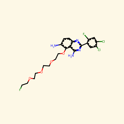 Nc1ccc2nc(-c3cc(Cl)c(Cl)cc3F)nc(N)c2c1OCCOCCOCCOCCF